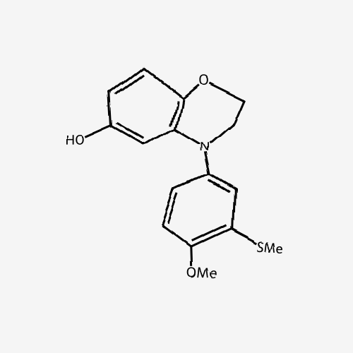 COc1ccc(N2CCOc3ccc(O)cc32)cc1SC